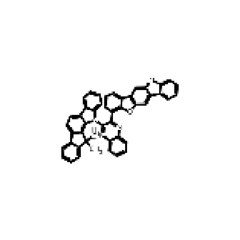 CC1(C)c2ccccc2-c2ccc3c4ccccc4n(-c4nc5ccccc5nc4-c4cccc5c4oc4cc6c(cc45)oc4ccccc46)c3c21